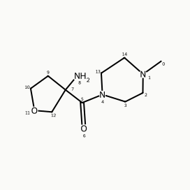 CN1CCN(C(=O)C2(N)CCOC2)CC1